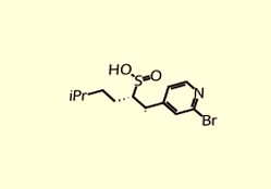 CC(C)CC[C@@H]([CH]c1ccnc(Br)c1)S(=O)O